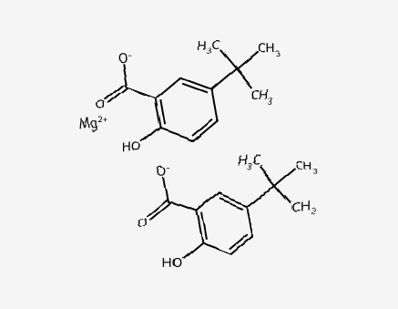 CC(C)(C)c1ccc(O)c(C(=O)[O-])c1.CC(C)(C)c1ccc(O)c(C(=O)[O-])c1.[Mg+2]